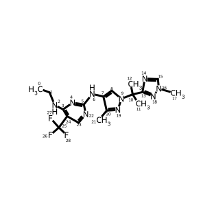 CCNc1nc(Nc2cn(C(C)(C)c3ncn(C)n3)nc2C)ncc1C(F)(F)F